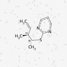 C=C[C@H](C)[C@@H](C)Sc1ncccn1